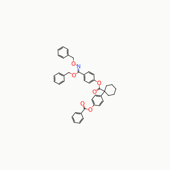 O=C(Oc1ccc(C2(C(=O)Oc3ccc(C(=NOCc4ccccc4)OCc4ccccc4)cc3)CCCCC2)cc1)c1ccccc1